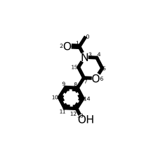 CC(=O)N1CCOC(c2cccc(O)c2)C1